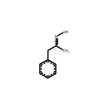 CCC/N=C(\C)Cc1ccccc1